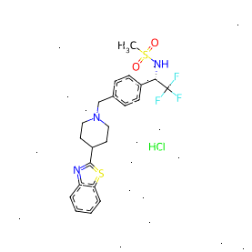 CS(=O)(=O)N[C@@H](c1ccc(CN2CCC(c3nc4ccccc4s3)CC2)cc1)C(F)(F)F.Cl